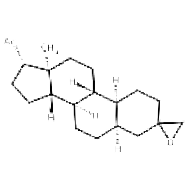 CC(=O)[C@H]1CC[C@H]2[C@@H]3CC[C@@H]4CC5(CC[C@@H]4[C@H]3CC[C@]12C)CO5